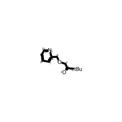 CC(C)(C)C(=O)COCc1ccccn1